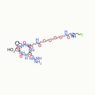 N=C(N)NCCC[C@@H]1NC(=O)[C@H](CCCCNC(=O)CCOCCOCCOCCOCCNC(=O)Cn2cc(CCC[18F])nn2)NC(=O)N(Cc2ccccc2)NC(=O)[C@H](CC(=O)O)NC(=O)CNC1=O